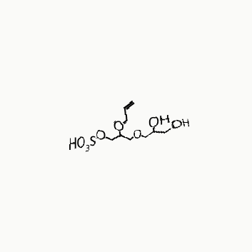 C=CCOC(COCC(O)CO)COS(=O)(=O)O